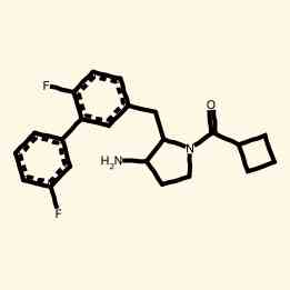 NC1CCN(C(=O)C2CCC2)C1Cc1ccc(F)c(-c2cccc(F)c2)c1